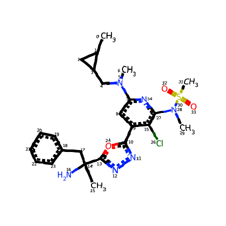 CC1CC1CN(C)c1cc(-c2nnc(C(C)(N)Cc3ccccc3)o2)c(Cl)c(N(C)S(C)(=O)=O)n1